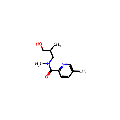 Cc1ccc(C(=O)N(C)CC(C)CO)nc1